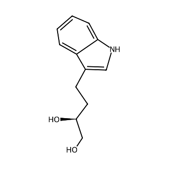 OC[C@@H](O)CCc1c[nH]c2ccccc12